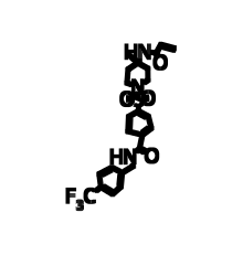 C=CC(=O)NC1(C)CCN(S(=O)(=O)c2ccc(C(=O)NCc3ccc(C(F)(F)F)cc3)cc2)CC1